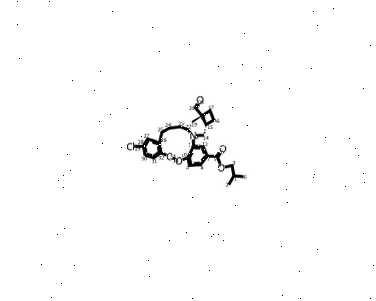 CC(C)COC(=O)c1ccc2c(c1)N(C[C@H]1CC[C@@]1(C)C=O)CCCCc1cc(Cl)ccc1CO2